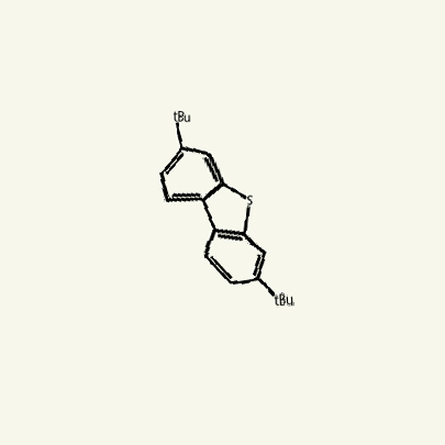 CC(C)(C)c1ccc2c(c1)sc1cc(C(C)(C)C)ccc12